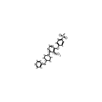 CS(=O)(=O)c1ccc(Oc2ncnc(N3CCC(Sc4ccncc4)CC3)c2[N+](=O)[O-])cc1